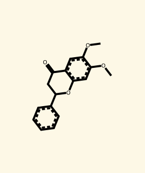 COc1cc2c(cc1OC)C(=O)CC(c1ccccc1)O2